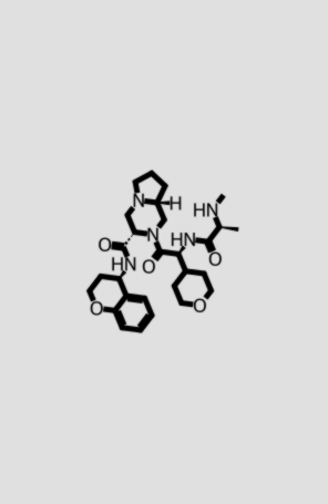 CN[C@@H](C)C(=O)N[C@H](C(=O)N1C[C@H]2CCCN2C[C@H]1C(=O)N[C@@H]1CCOc2ccccc21)C1CCOCC1